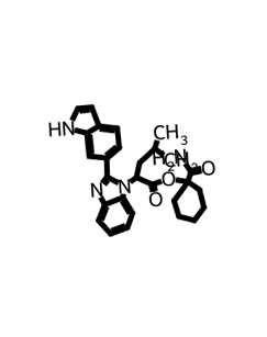 CC(C)CC(C(=O)OC1(C(N)=O)CCCCC1)n1c(-c2ccc3cc[nH]c3c2)nc2ccccc21